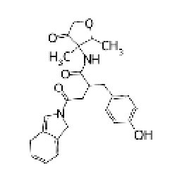 CC1OCC(=O)C1(C)NC(=O)C(CC(=O)N1C=C2CC=CC=C2C1)Cc1ccc(O)cc1